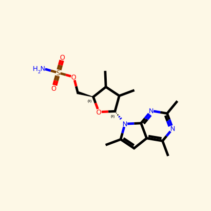 Cc1nc(C)c2cc(C)n([C@@H]3O[C@@H](COS(N)(=O)=O)C(C)C3C)c2n1